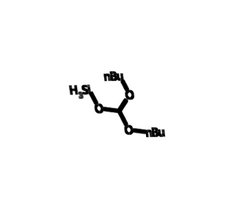 CCCCOC(O[SiH3])OCCCC